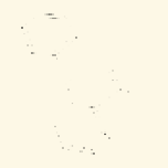 O=C(O)c1nccc[c]1[Ir+][c]1ccccc1